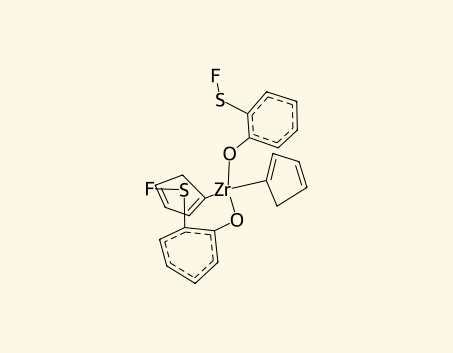 FSc1ccccc1[O][Zr]([O]c1ccccc1SF)([C]1=CC=CC1)[C]1=CC=CC1